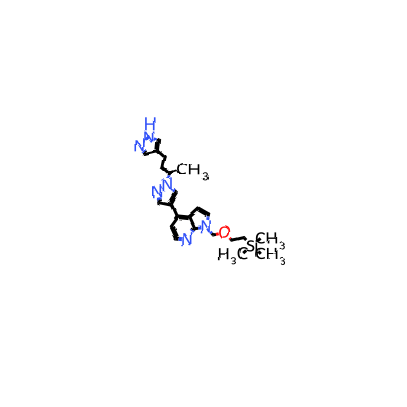 CC(CCc1cn[nH]c1)n1cc(-c2ccnc3c2ccn3COCC[Si](C)(C)C)cn1